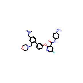 CN(C)Cc1ccc(-c2cccc(Oc3ncc(F)cc3C(=O)NC3CCC(N)CC3)c2)c(CN2CCOCC2)c1